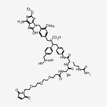 CCCN(CCC)Cc1ccc(C(Cc2ccc(NC(=O)[C@H](CCCNC(N)=O)NC(=O)[C@@H](NC(=O)CCOCCOCCOCCN3C(=O)C=CC3=O)C(C)C)cc2)N(Cc2ccc(Cn3c(O)nc4c(N)nc(OCC)nc43)c(OC)c2)C(=O)O)cc1